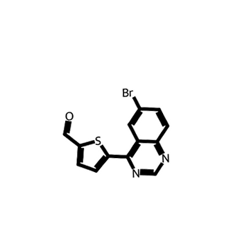 O=Cc1ccc(-c2ncnc3ccc(Br)cc23)s1